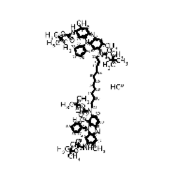 Cc1cc2nc3cc(C)c(N(CCCCCCCCCCCCN(C(=O)OC(C)(C)C)c4ccc5nc6cc(C)c(NC(=O)OC(C)(C)C)cc6[n+](-c6ccccc6)c5c4C)C(=O)OC(C)(C)C)cc3[n+](-c3ccccc3)c2cc1NC(=O)OC(C)(C)C.Cl